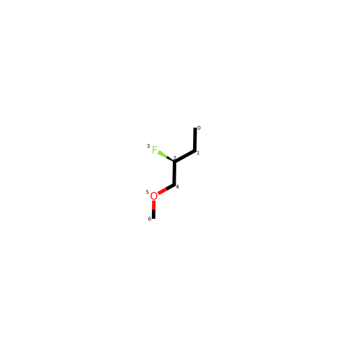 CC[C@H](F)COC